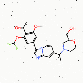 COc1cc(-c2cnc3cc(C(C)N4CCO[C@H](CO)C4)ccn23)cc(OC(F)F)c1C(C)=O